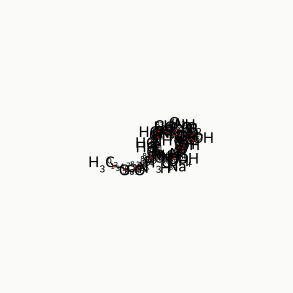 CCCCCOc1ccc(-c2cc(-c3ccc(C(=O)N[C@H]4C[C@@H](O)[C@@H](O)NC(=O)[C@@H]5[C@@H](O)[C@@H](C)CN5C(=O)[C@H]([C@H](O)CC(N)=O)NC(=O)[C@H]([C@H](O)[C@@H](O)c5ccc(O)c(OS(=O)(=O)[O-])c5)NC(=O)[C@@H]5C[C@@H](O)CN5C(=O)[C@H]([C@@H](C)O)NC4=O)cc3)no2)cc1.[Na+]